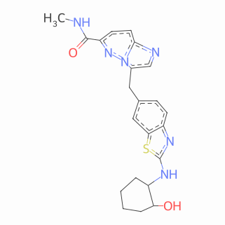 CNC(=O)c1ccc2ncc(Cc3ccc4nc(NC5CCCCC5O)sc4c3)n2n1